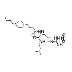 CCCCN1CCC(CCCC(=O)N[C@@H](CCCNC(=N)N[N+](=O)[O-])C(=O)N[CH]CC(C)C)CC1